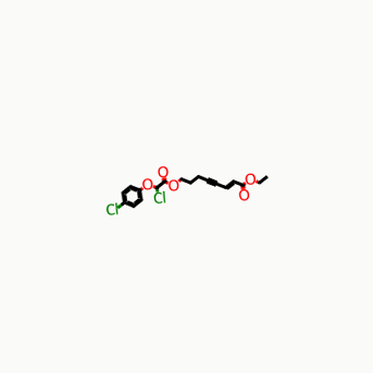 CCOC(=O)C=CC#CCCCOC(=O)C(Cl)Oc1ccc(Cl)cc1